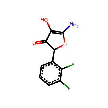 NC1=C(O)C(=O)C(c2cccc(F)c2F)O1